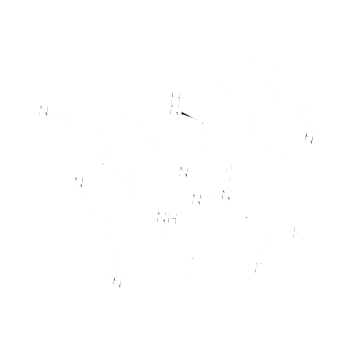 CC(C)(C)CNc1c(C#N)cnc2c(C#N)cc(N[C@H](c3cn(C(C)(C)C(F)F)nn3)c3cccc4cnccc34)cc12